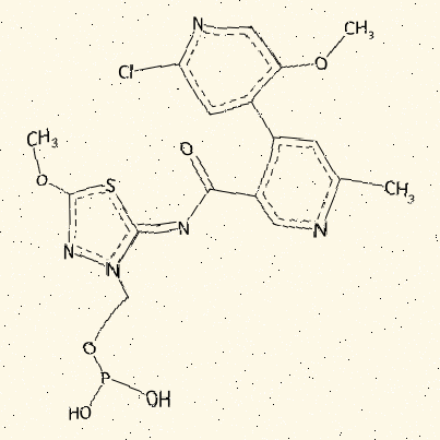 COc1nn(COP(O)O)/c(=N/C(=O)c2cnc(C)cc2-c2cc(Cl)ncc2OC)s1